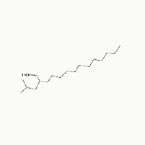 CCCCCCCCCCCCC(CO)CC(C)C